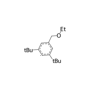 CCOCc1cc(C(C)(C)C)[c]c(C(C)(C)C)c1